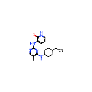 Cc1cnc(Nc2ccc[nH]c2=O)nc1N[C@H]1CC[C@H](CC#N)CC1